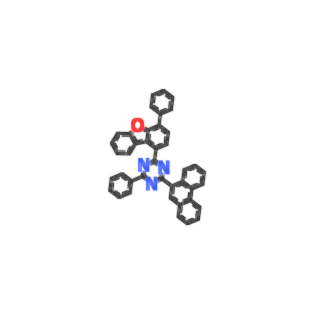 c1ccc(-c2nc(-c3cc4ccccc4c4ccccc34)nc(-c3ccc(-c4ccccc4)c4oc5ccccc5c34)n2)cc1